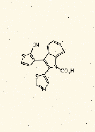 N#Cc1sccc1-c1c(-c2cncs2)n(C(=O)O)c2ccccc12